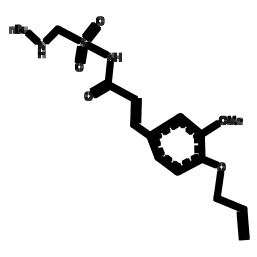 C=CCOc1ccc(C=CC(=O)NS(=O)(=O)CNCCCC)cc1OC